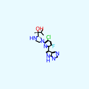 CC(C)[C@@](C)(O)[C@@H]1CN(c2nc(-c3c[nH]c4ncncc34)c(F)cc2Cl)CCN1